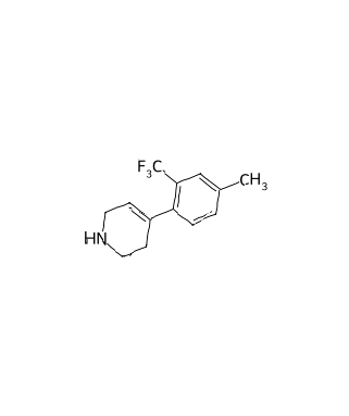 Cc1ccc(C2=CCNCC2)c(C(F)(F)F)c1